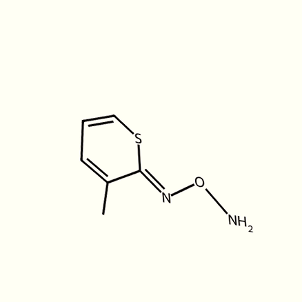 Cc1cccs/c1=N\ON